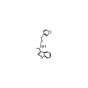 CC(NCCCc1ccoc1)c1csc2ccccc12